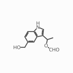 CC(OC=O)c1c[nH]c2ccc(CO)cc12